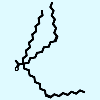 CCCCCCCC/C=C\CCCCCCCCC(CCCCCCCC/C=C\CCCCCCCC)(CCCCCCCCCCCCC)C(C)=O